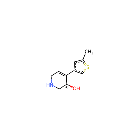 Cc1cc(C2=CCNC[C@@H]2O)cs1